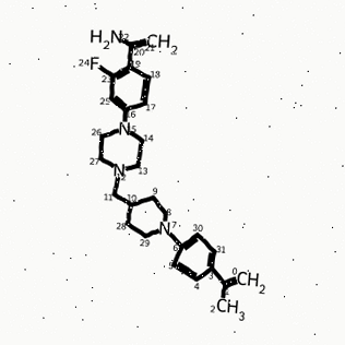 C=C(C)c1ccc(N2CCC(CN3CCN(c4ccc(C(=C)N)c(F)c4)CC3)CC2)cc1